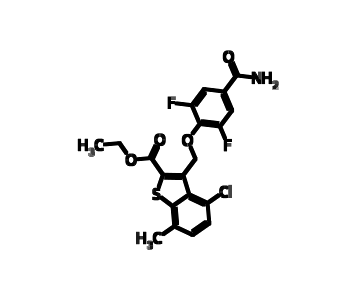 CCOC(=O)c1sc2c(C)ccc(Cl)c2c1COc1c(F)cc(C(N)=O)cc1F